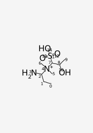 CCC(N)[N+](C)(C)C(C(C)O)S(=O)(=O)O